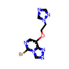 Brc1ncc(OCCn2cncn2)c2nncn12